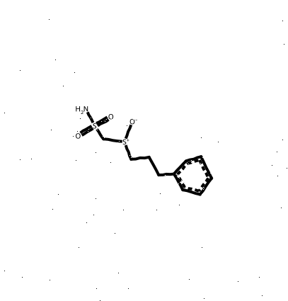 NS(=O)(=O)C[S+]([O-])CCCc1ccccc1